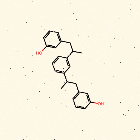 CC(Cc1cccc(O)c1)c1cccc(C(C)Cc2cccc(O)c2)c1